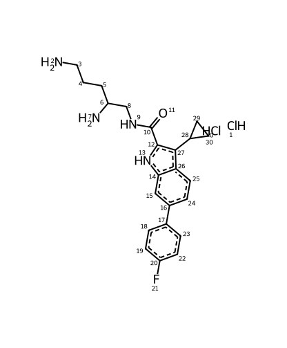 Cl.Cl.NCCCC(N)CNC(=O)c1[nH]c2cc(-c3ccc(F)cc3)ccc2c1C1CC1